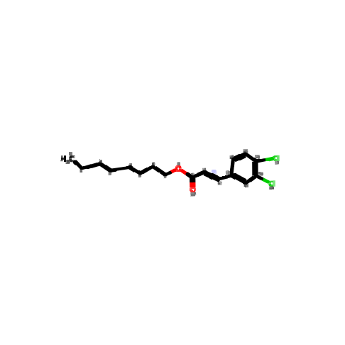 CCCCCCCCOC(=O)/C=C/c1ccc(Cl)c(Cl)c1